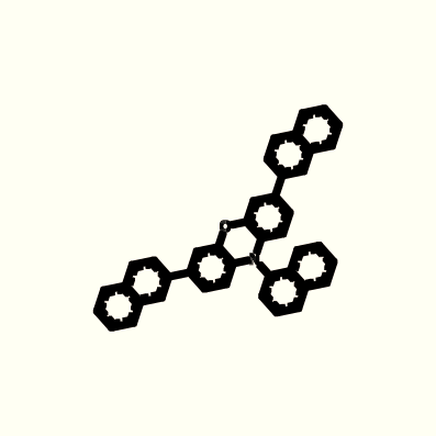 c1ccc2cc(-c3ccc4c(c3)Oc3cc(-c5ccc6ccccc6c5)ccc3N4c3cccc4ccccc34)ccc2c1